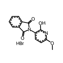 Br.COc1ccc(N2C(=O)c3ccccc3C2=O)c(O)n1